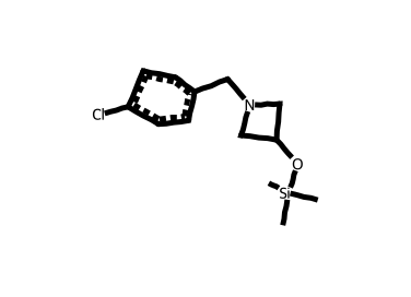 C[Si](C)(C)OC1CN(Cc2ccc(Cl)cc2)C1